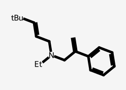 C=C(CN(CC)C/C=C/C(C)(C)C)c1ccccc1